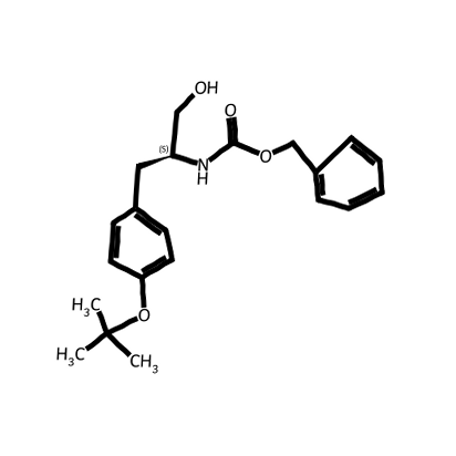 CC(C)(C)Oc1ccc(C[C@@H](CO)NC(=O)OCc2ccccc2)cc1